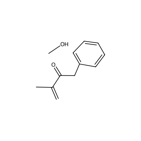 C=C(C)C(=O)Cc1ccccc1.CO